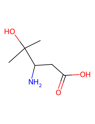 CC(C)(O)C(N)CC(=O)O